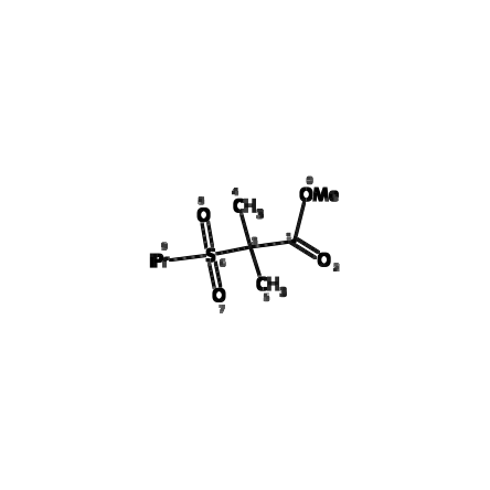 COC(=O)C(C)(C)S(=O)(=O)C(C)C